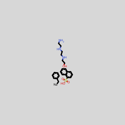 NCCNCCNCCO.O=S(=O)(O)c1cccc2ccccc12.[Na][CH2]c1ccccc1